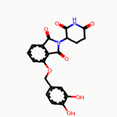 O=C1CCC(N2C(=O)c3cccc(OCc4ccc(O)c(O)c4)c3C2=O)C(=O)N1